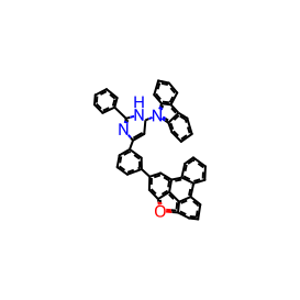 C1=C(c2cccc(-c3cc4oc5cccc6c7ccccc7c(c3)c4c56)c2)N=C(c2ccccc2)NC1n1c2ccccc2c2ccccc21